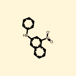 O=[N+]([O-])c1cc(Bc2ccccc2)cc2ccccc12